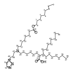 CCCCCCCCCOC(=O)CCCCCCCN(CCCCCCC(C(=O)O)C(CCCCCCCC)CCCCCCCC)CCCn1ccnn1